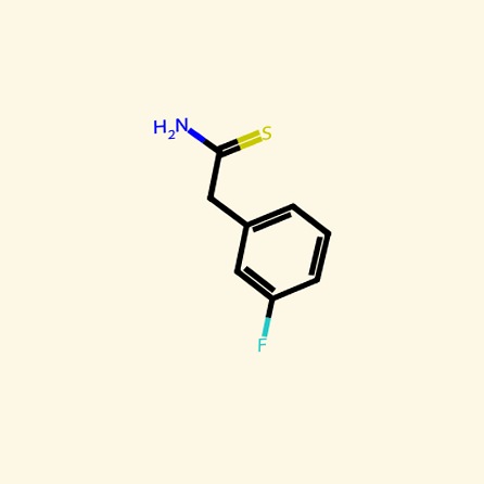 NC(=S)Cc1cccc(F)c1